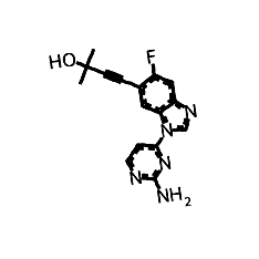 CC(C)(O)C#Cc1cc2c(cc1F)ncn2-c1ccnc(N)n1